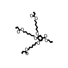 C=CCOC(=O)c1cc(OCCCCCCOC(=O)C=C)c(OCCCCCCOC(=O)C=C)c(OCCCCCCOC(=O)C=C)c1